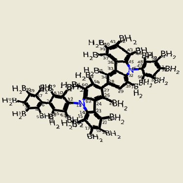 Bc1c(B)c(B)c(-c2c(B)c(B)c(-n3c4c(B)c(B)c(B)c(B)c4c4c(B)c(-c5cc(B)c6c(c5B)c5c(B)c(B)c(B)c(B)c5n6-c5c(B)c(B)c(B)c(B)c5B)c(B)c(B)c43)c(B)c2B)c(B)c1B